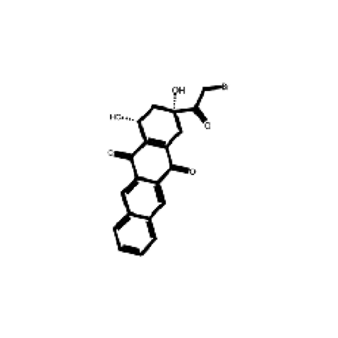 O=C1C2=C(C(=O)c3cc4ccccc4cc31)[C@H](O)C[C@@](O)(C(=O)CBr)C2